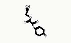 C#CCOC(=O)C(=O)OC1=CCC(F)CC1